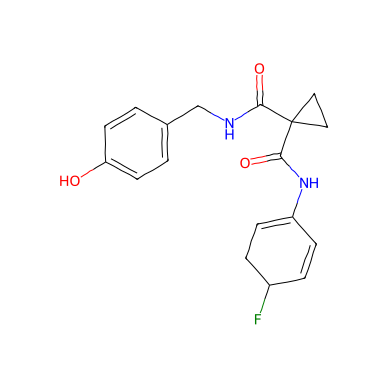 O=C(NCc1ccc(O)cc1)C1(C(=O)NC2=CCC(F)C=C2)CC1